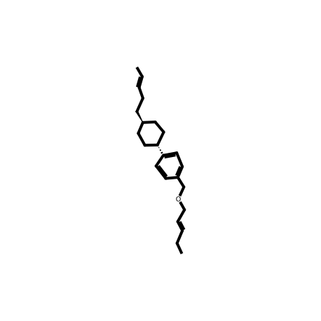 C/C=C/CC[C@H]1CC[C@H](c2ccc(COC/C=C/CC)cc2)CC1